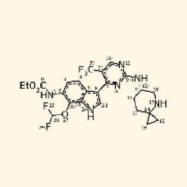 CCOC(=O)Nc1ccc2c(-c3nc(N[C@H]4CCC5(CC5)NC4)ncc3C(F)(F)F)c[nH]c2c1OC(F)F